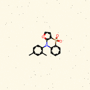 Cc1ccc(N2c3ccccc3S(=O)(=O)c3ccoc32)c(C)c1